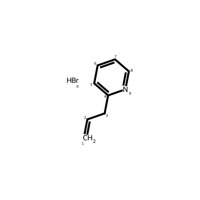 Br.C=CCc1ccccn1